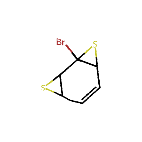 BrC12SC1C=CC1SC12